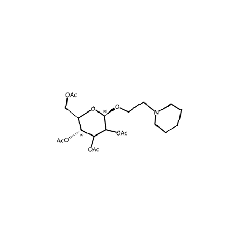 CC(=O)OCC1O[C@@H](OCCN2CCCCC2)C(OC(C)=O)C(OC(C)=O)[C@@H]1OC(C)=O